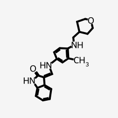 Cc1cc(NC=C2C(=O)Nc3ccccc32)ccc1NCC1CCOCC1